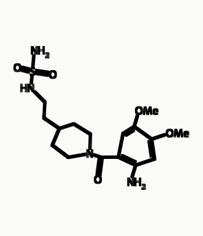 COc1cc(N)c(C(=O)N2CCC(CCNS(N)(=O)=O)CC2)cc1OC